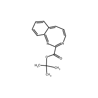 CC(C)(C)OC(=O)C1=NC=CC=c2ccccc2=N1